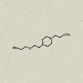 COCCN1CCN(CCOCCC(C)(C)C)CC1